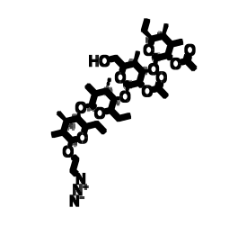 CCC1O[C@@H](OCCN=[N+]=[N-])C(C)[C@@H](C)[C@@H]1O[C@@H]1OC(CC)[C@@H](O[C@@H]2OC(CO)[C@@H](C)[C@H](O[C@H]3O[C@@H](CC)[C@@H](C)C(C)C3OC(C)=O)C2OC(C)=O)[C@@H](C)C1C